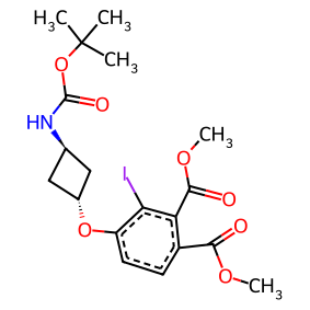 COC(=O)c1ccc(O[C@H]2C[C@H](NC(=O)OC(C)(C)C)C2)c(I)c1C(=O)OC